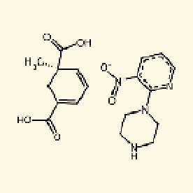 C[C@]1(C(=O)O)C=CC=C(C(=O)O)C1.O=[N+]([O-])c1cccnc1N1CCNCC1